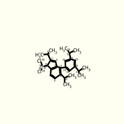 CC(C)C1=Cc2c(ccc(C(C)C)c2-c2cc(C(C)C)cc(C(C)C)c2)[CH]1[Zr]([Cl])[Cl]